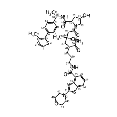 Cc1ncsc1-c1ccc([C@H](C)NC(=O)C2C[C@@H](O)CN2C(=O)CC(C)(C)CC(CCCNC(=O)c2cccc3sc(N4CCOCC4)nc23)C(N)=O)cc1